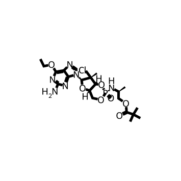 CCOc1nc(N)nc2c1ncn2[C@@H]1O[C@@H]2CO[P@@](=O)(N[C@@H](C)COC(=O)C(C)(C)C)O[C@H]2[C@@]1(C)Cl